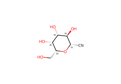 N#C[C@@H]1O[C@H](CO)[C@H](O)[C@H](O)[C@H]1O